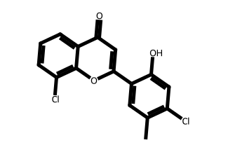 Cc1cc(-c2cc(=O)c3cccc(Cl)c3o2)c(O)cc1Cl